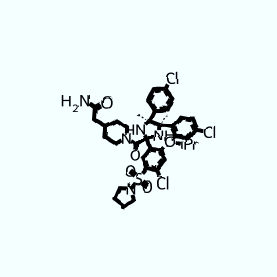 CC(C)Oc1cc(Cl)c(S(=O)(=O)N2CCCC2)cc1C1(C(=O)N2CCC(CC(N)=O)CC2)N[C@@](C)(c2ccc(Cl)cc2)[C@@](C)(c2ccc(Cl)cc2)N1